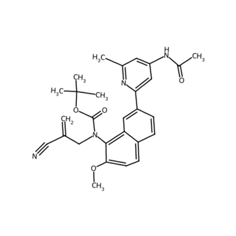 C=C(C#N)CN(C(=O)OC(C)(C)C)c1c(OC)ccc2ccc(-c3cc(NC(C)=O)cc(C)n3)cc12